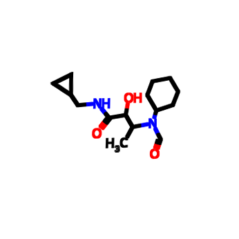 CC(C(O)C(=O)NCC1CC1)N(C=O)C1CCCCC1